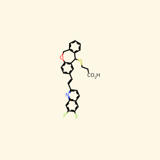 O=C(O)CCSC1c2ccccc2COc2ccc(C=Cc3ccc4cc(F)c(F)cc4n3)cc21